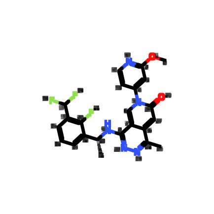 COc1cc(-n2cc3c(N[C@H](C)c4cccc(C(F)F)c4F)nnc(C)c3cc2=O)ccn1